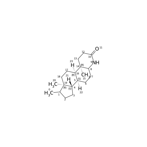 CC1CC[C@H]2[C@@H]3CCC4NC(=O)CC[C@]4(C)[C@@H]3CC[C@]12C